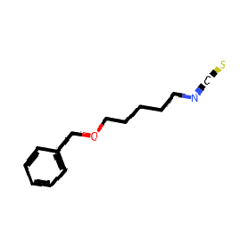 S=C=NCCCCCOCc1ccccc1